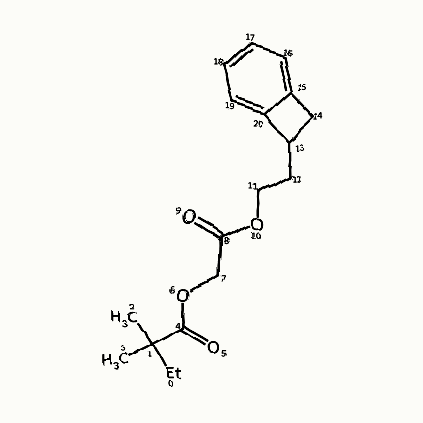 CCC(C)(C)C(=O)OCC(=O)OCCC1Cc2ccccc21